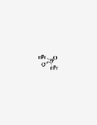 CC[CH2][Zr](=[O])(=[O])[CH2]CC